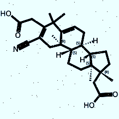 CC1(C)C2=CC[C@@H]3[C@H](CC[C@@]4(C)[C@H]3CC[C@]4(C)CC(=O)O)[C@@]2(C)CC(C#N)=C1CC(=O)O